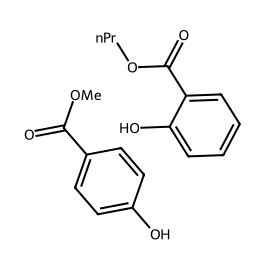 CCCOC(=O)c1ccccc1O.COC(=O)c1ccc(O)cc1